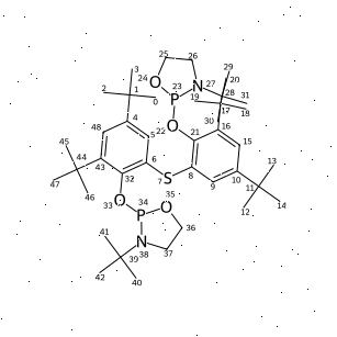 CC(C)(C)c1cc(Sc2cc(C(C)(C)C)cc(C(C)(C)C)c2OP2OCCN2C(C)(C)C)c(OP2OCCN2C(C)(C)C)c(C(C)(C)C)c1